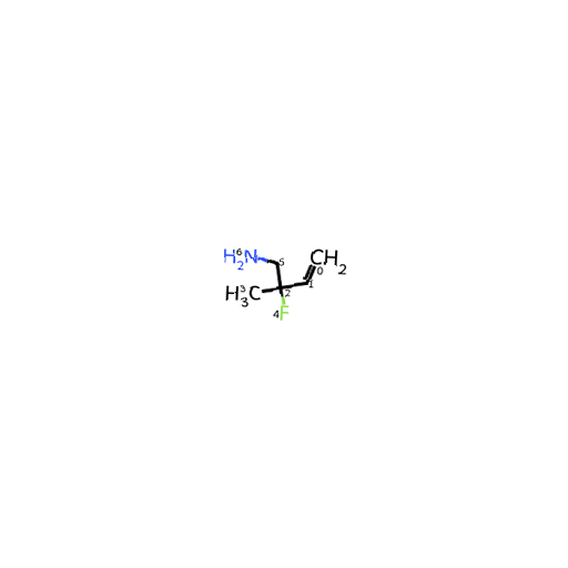 C=CC(C)(F)CN